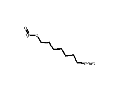 CCCCCCCCCCCCO[PH2]=O